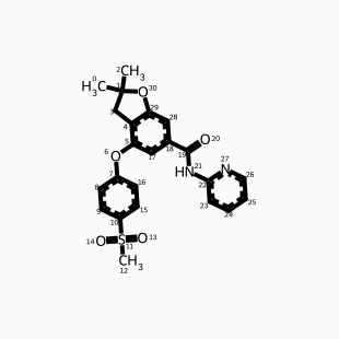 CC1(C)Cc2c(Oc3ccc(S(C)(=O)=O)cc3)cc(C(=O)Nc3ccccn3)cc2O1